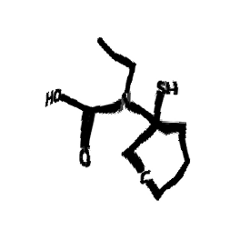 CCN(C(=O)O)C1(S)CCCCC1